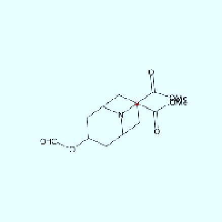 COC(=O)CN1C2CC(OC=O)CC1CC(C(=O)OC)C2